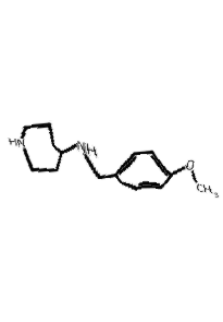 COc1ccc(CNC2CCNCC2)cc1